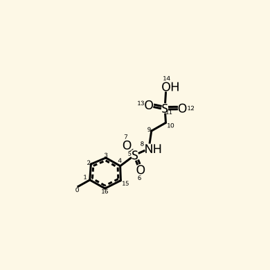 Cc1ccc(S(=O)(=O)NCCS(=O)(=O)O)cc1